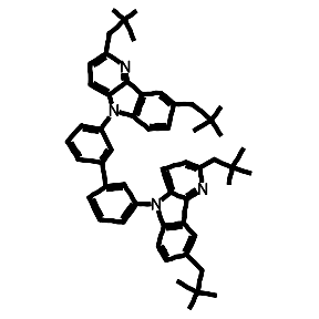 CC(C)(C)Cc1ccc2c(c1)c1nc(CC(C)(C)C)ccc1n2-c1cccc(-c2cccc(-n3c4ccc(CC(C)(C)C)cc4c4nc(CC(C)(C)C)ccc43)c2)c1